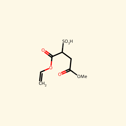 C=COC(=O)C(CC(=O)OC)S(=O)(=O)O